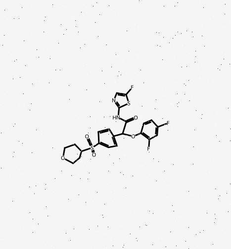 O=C(Nc1ncc(F)s1)C(Oc1ccc(F)cc1F)c1ccc(S(=O)(=O)C2CCOCC2)cc1